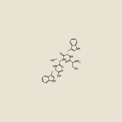 N[C@@H](CS)C(=O)N[C@@H](Cc1c[nH]c2ccccc12)C(=O)N[C@@H](CS)C(=O)N[C@@H](Cc1c[nH]c2ccccc12)C(=O)O